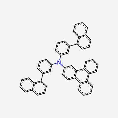 c1cc(-c2cccc3ccccc23)cc(N(c2cccc(-c3cccc4ccccc34)c2)c2ccc3c4ccccc4c4ccccc4c3c2)c1